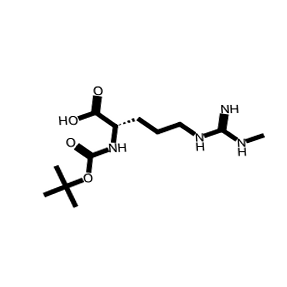 CNC(=N)NCCC[C@H](NC(=O)OC(C)(C)C)C(=O)O